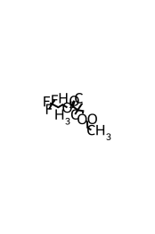 CCC(=O)OCC(C)(CC)C(=O)OCCC(F)(F)F